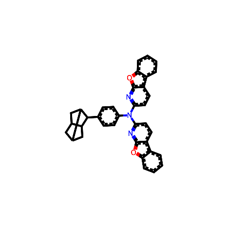 c1ccc2c(c1)oc1nc(N(c3ccc(C4C5CC6CC5CC64)cc3)c3ccc4c(n3)oc3ccccc34)ccc12